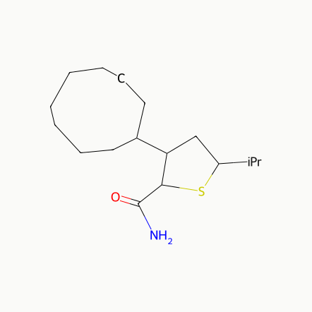 CC(C)C1CC(C2CCCCCCCC2)C(C(N)=O)S1